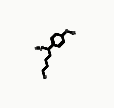 CCOC1C=CC(C(CCCCCl)C(=O)O)=CC1